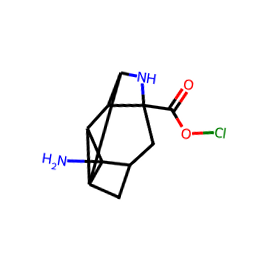 NC12C3CC4(C(=O)OCl)NC5C4C1C52C3